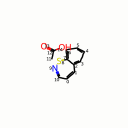 C1=Cc2ccccc2SN=C1.CC(=O)O